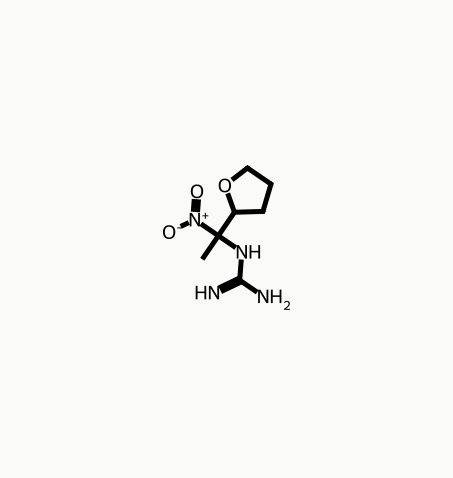 CC(NC(=N)N)(C1CCCO1)[N+](=O)[O-]